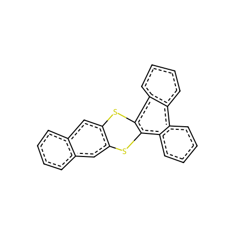 c1ccc2cc3c(cc2c1)Sc1c(c2ccccc2c2ccccc12)S3